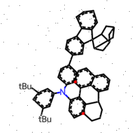 CC(C)(C)c1cc(N(c2ccc(-c3ccc4c(c3)C3(c5ccccc5-4)C4CC5CC(C4)C3C5)cc2)c2ccccc2-c2cccc3cccc(C4CCCCC4)c23)cc(C(C)(C)C)c1